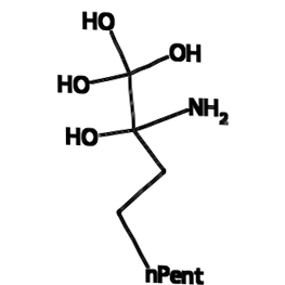 CCCCCCCC(N)(O)C(O)(O)O